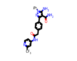 CC(C)n1nc(-c2ccc(CC(=O)Nc3ccnc(C(F)(F)F)c3)cc2)c(C(N)=O)c1N